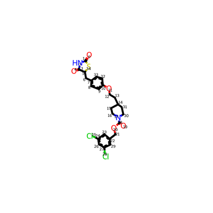 O=C1NC(=O)C(Cc2ccc(OCCC3CCN(C(=O)OCc4cc(Cl)cc(Cl)c4)CC3)cc2)S1